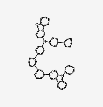 c1ccc(-c2ccc(N(c3ccc(-c4cccc(-c5cccc(-c6ccc7c(c6)c6ccccc6n7-c6ccccc6)c5)c4)cc3)c3ccc4oc5ccccc5c4c3)cc2)cc1